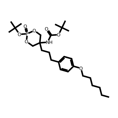 CCCCCCOc1ccc(CCCC2(NC(=O)OC(C)(C)C)COP(=O)(OC(C)(C)C)OC2)cc1